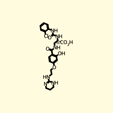 O=C(Nc1ccccc1Cl)N[C@@H](CNC(=O)c1ccc(OCCNC2=NCCCN2)cc1O)C(=O)O